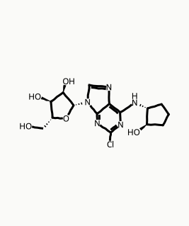 OC[C@H]1O[C@@H](n2cnc3c(N[C@@H]4CCC[C@H]4O)nc(Cl)nc32)[C@H](O)[C@@H]1O